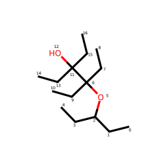 CCC(CC)OC(CC)(CC)C(O)(CC)CC